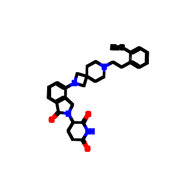 COc1ccccc1CCN1CCC2(CC1)CN(c1cccc3c1CN(C1CCC(=O)NC1=O)C3=O)C2